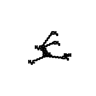 CCCCCCCCCCCCC(C)(CCCCCCCCC)OC(=O)CC(=O)OC(C)(CCCCCCCCC)CCCCCCCCCCCC.[NaH]